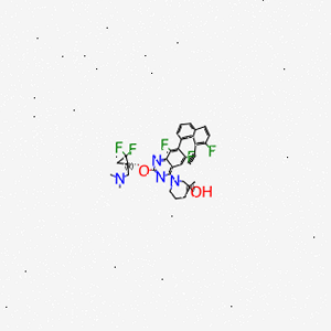 C#Cc1c(F)ccc2cccc(-c3c(F)cc4c(N5CCC[C@@](C)(O)C5)nc(OC[C@]5(CN(C)C)CC5(F)F)nc4c3F)c12